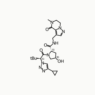 CN1CCn2ncc(CNC(=O)[C@@H]3C[C@@H](O)CN3C(=O)[C@@H](n3cc(C4CC4)nn3)C(C)(C)C)c2C1=O